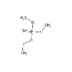 CCOP(=S)(OC)SC